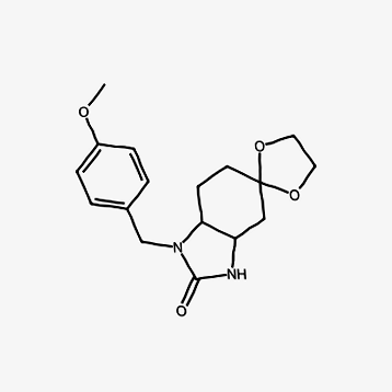 COc1ccc(CN2C(=O)NC3CC4(CCC32)OCCO4)cc1